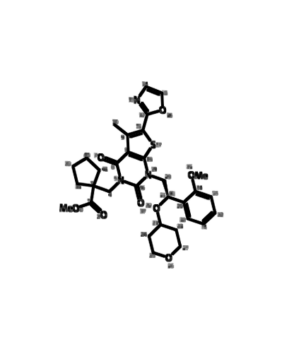 COC(=O)C1(Cn2c(=O)c3c(C)c(-c4ncco4)sc3n(C[C@H](OC3CCOCC3)c3ccccc3OC)c2=O)CCCC1